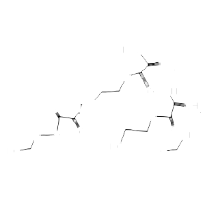 C=C(C)C(=O)OCCC.C=C(C)C(=O)OCCC.C=C(C)C(=O)OOCC.CCC